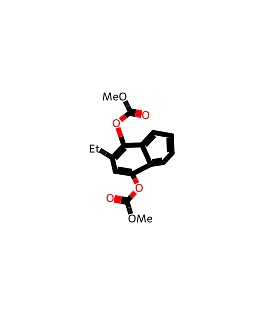 CCc1cc(OC(=O)OC)c2ccccc2c1OC(=O)OC